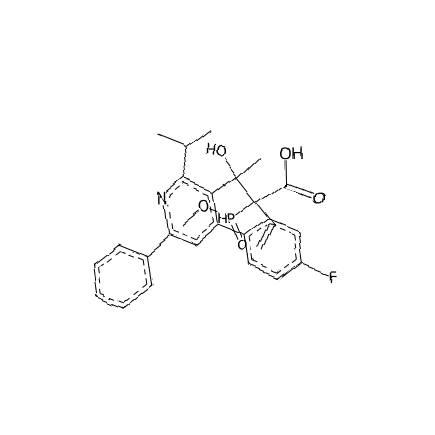 C=CC(C(=O)O)([PH](=O)OC)C(C)(O)c1c(-c2ccc(F)cc2)cc(-c2ccccc2)nc1C(C)C